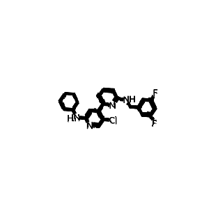 Fc1cc(F)cc(CNc2cccc(-c3cc(NC4CCCCC4)ncc3Cl)n2)c1